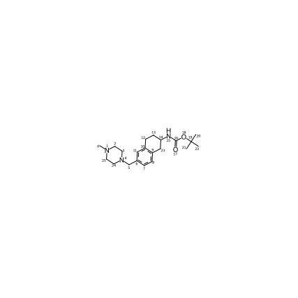 CN1CCN(Cc2ccc3c(c2)CCC(NC(=O)OC(C)(C)C)C3)CC1